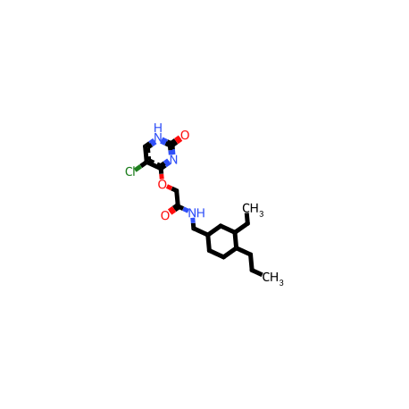 CCCC1CCC(CNC(=O)COc2nc(=O)[nH]cc2Cl)CC1CC